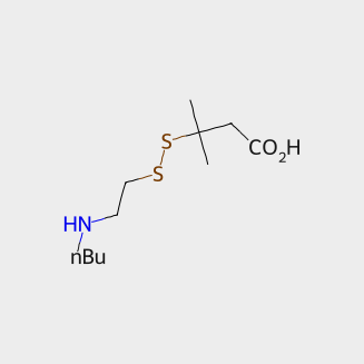 CCCCNCCSSC(C)(C)CC(=O)O